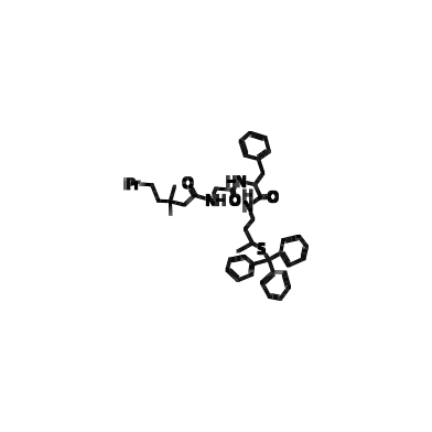 CC(C)CCC(C)(C)CC(=O)NCC(=O)NC(Cc1ccccc1)C(=O)NCCC(C)SC(c1ccccc1)(c1ccccc1)c1ccccc1